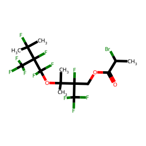 CC(Br)C(=O)OCC(F)(C(F)(F)F)C(C)(C)OC(F)(F)C(F)(C(C)(C)F)C(F)(F)F